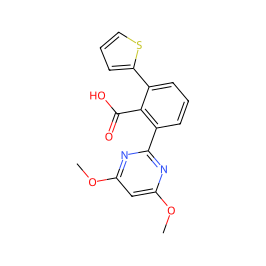 COc1cc(OC)nc(-c2cccc(-c3cccs3)c2C(=O)O)n1